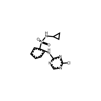 O=S(=O)(NC1CC1)c1ccccc1Nc1ncnc(Cl)n1